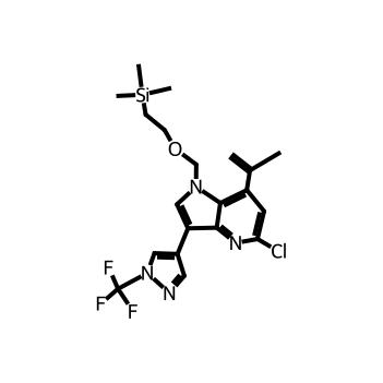 C=C(C)c1cc(Cl)nc2c(-c3cnn(C(F)(F)F)c3)cn(COCC[Si](C)(C)C)c12